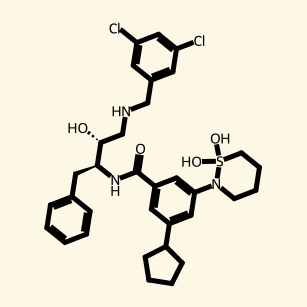 O=C(N[C@@H](Cc1ccccc1)[C@H](O)CNCc1cc(Cl)cc(Cl)c1)c1cc(C2CCCC2)cc(N2CCCCS2(O)O)c1